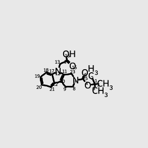 CC(C)(C)OC(=O)N1CCc2c(n(CC(=O)O)c3ccccc23)C1